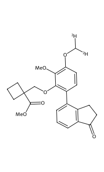 [2H]C([2H])Oc1ccc(-c2cccc3c2CCC3=O)c(OCC2(C(=O)OC)CCC2)c1OC